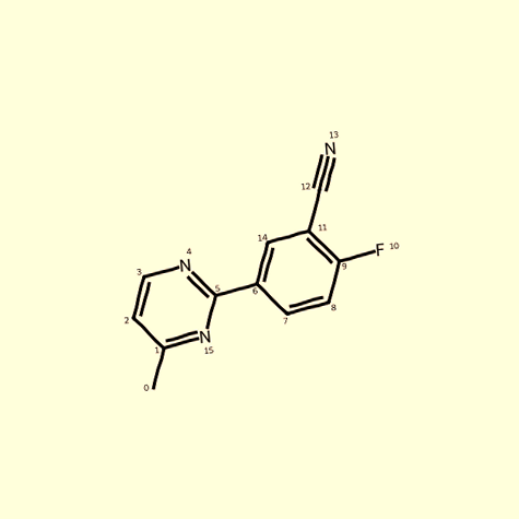 Cc1ccnc(-c2ccc(F)c(C#N)c2)n1